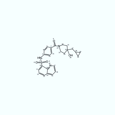 O=C(c1ccc(NS(=O)(=O)c2cccc3cccnc23)cc1)N1CCC(O)(CC2CC2)CC1